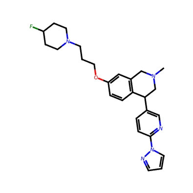 CN1Cc2cc(OCCCN3CCC(F)CC3)ccc2C(c2ccc(-n3cccn3)nc2)C1